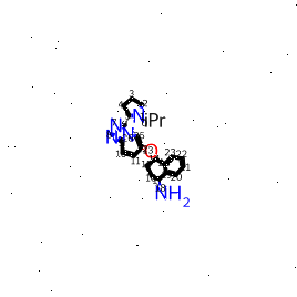 CC(C)N1CCC[C@H]1c1nnc2ccc(O[C@@H]3CC[C@H](N)c4ccccc43)cn12